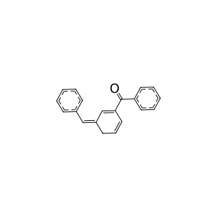 O=C(C1=CC(=Cc2ccccc2)CC=C1)c1ccccc1